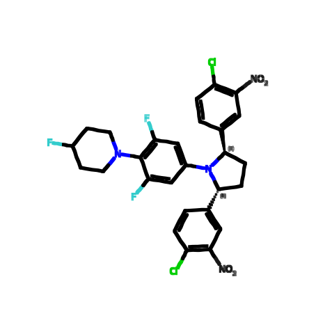 O=[N+]([O-])c1cc([C@H]2CC[C@H](c3ccc(Cl)c([N+](=O)[O-])c3)N2c2cc(F)c(N3CCC(F)CC3)c(F)c2)ccc1Cl